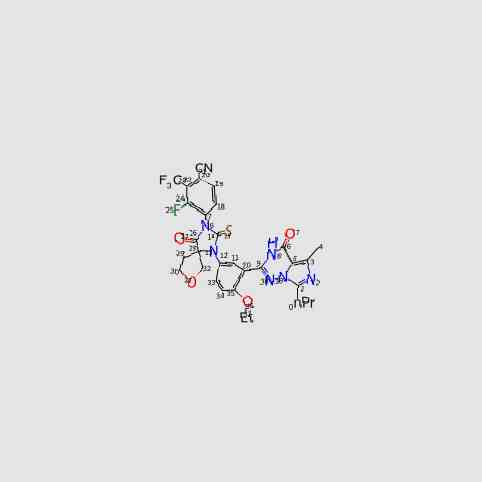 CCCc1nc(C)c2c(=O)[nH]c(-c3cc(N4C(=S)N(c5ccc(C#N)c(C(F)(F)F)c5F)C(=O)C45CCOC5)ccc3OCC)nn12